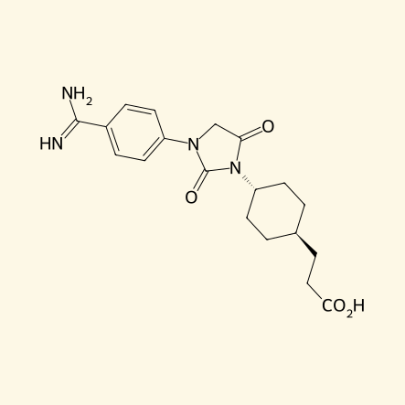 N=C(N)c1ccc(N2CC(=O)N([C@H]3CC[C@H](CCC(=O)O)CC3)C2=O)cc1